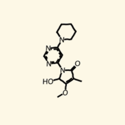 COC1=C(C)C(=O)N(c2cc(N3CCCCC3)ncn2)C1O